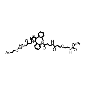 CC(=O)CCOCCNCC(=O)Cn1nnc2c1-c1ccccc1N(C(=O)CCNC(=O)CCOCCNC(=O)OC(C)C)Cc1ccccc1-2